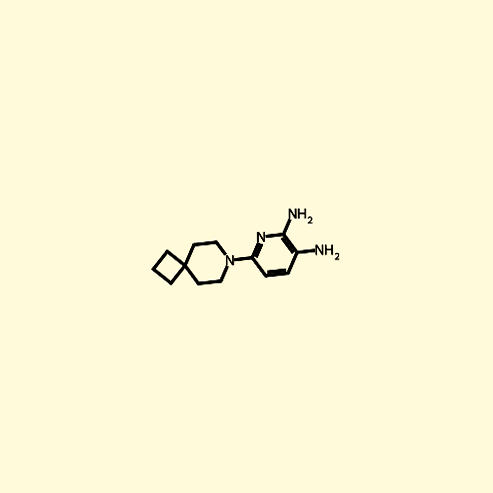 Nc1ccc(N2CCC3(CCC3)CC2)nc1N